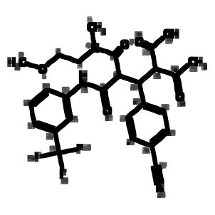 COCCN(C)C(=O)C(C(=O)Nc1cccc(C(F)(F)F)c1)C(c1ccc(C#N)cc1)C(C(C)=O)C(=O)O